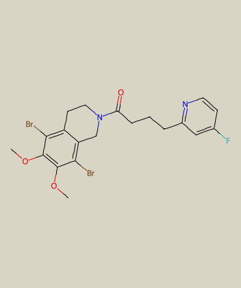 COc1c(Br)c2c(c(Br)c1OC)CN(C(=O)CCCc1cc(F)ccn1)CC2